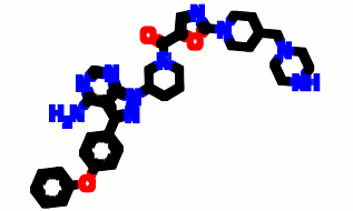 Nc1ncnc2c1c(-c1ccc(Oc3ccccc3)cc1)nn2C1CCCN(C(=O)c2cnc(N3CCC(CN4CCNCC4)CC3)o2)C1